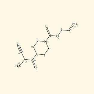 C=CCOC(=O)N1CCC(C(=O)C(C)C#N)CC1